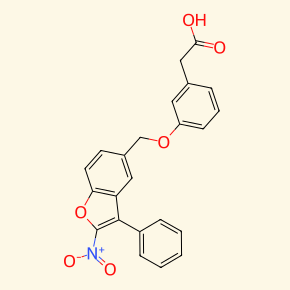 O=C(O)Cc1cccc(OCc2ccc3oc([N+](=O)[O-])c(-c4ccccc4)c3c2)c1